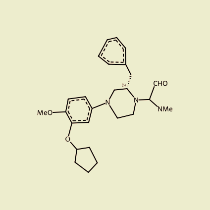 CNC(C=O)N1CCN(c2ccc(OC)c(OC3CCCC3)c2)C[C@@H]1Cc1ccccc1